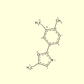 Cc1cnc(-c2ccc(C)c(C)c2)o1